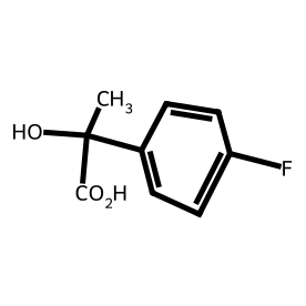 CC(O)(C(=O)O)c1ccc(F)cc1